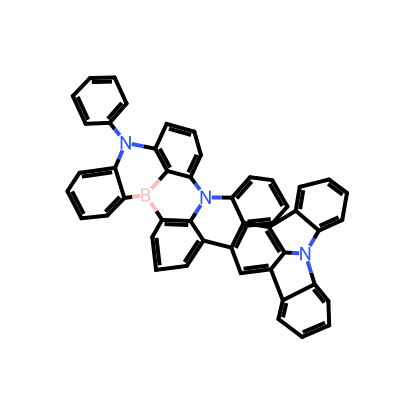 c1ccc(N2c3ccccc3B3c4cccc(-c5cc6c7ccccc7n7c8ccccc8c(c5)c67)c4N(c4ccccc4)c4cccc2c43)cc1